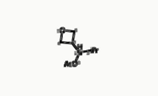 CC(=O)O[SiH](C(C)C)C1COC1